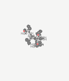 CN(C)c1cccc2c(S(=O)(=O)N(CC(=O)N3C[C@@H](NC(=O)[C@H](CC(=O)NCCN(Cc4ccccc4S(=O)O)Cc4cccc5ccccc45)NC(=O)OCC4c5ccccc5-c5ccccc54)C[C@H]3C(=O)NCCN(Cc3ccccc3B(O)O)Cc3c4ccccc4cc4ccccc34)Cc3ccccc3B(O)O)cccc12